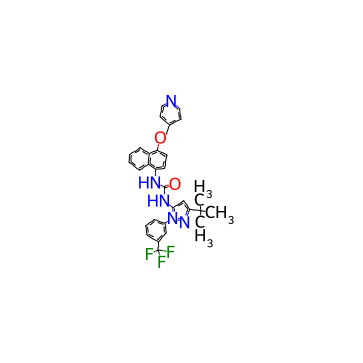 CC(C)(C)c1cc(NC(=O)Nc2ccc(OCc3ccncc3)c3ccccc23)n(-c2cccc(C(F)(F)F)c2)n1